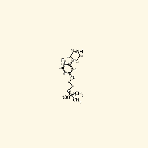 CC(C)(C)[Si](C)(C)OCCOc1ccc(F)c(N2CCNCC2)c1